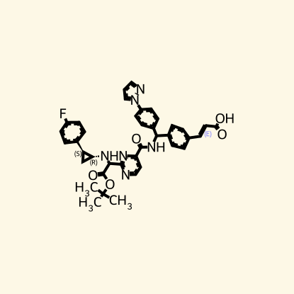 CC(C)(C)OC(=O)C(N[C@@H]1C[C@H]1c1ccc(F)cc1)c1nccc(C(=O)NC(c2ccc(/C=C/C(=O)O)cc2)c2ccc(-n3cccn3)cc2)n1